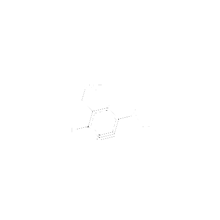 O=C(O)Cc1cc(OC(F)(F)F)c#cc1F